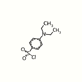 CCN(CC)c1ccc(S(=O)(=O)Cl)cc1